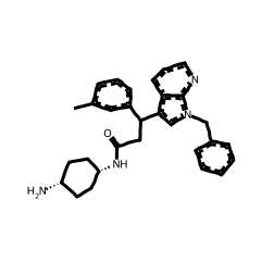 Cc1cccc(C(CC(=O)N[C@H]2CC[C@@H](N)CC2)c2cn(Cc3ccccc3)c3ncccc23)c1